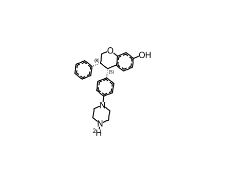 [2H]N1CCN(c2ccc([C@H]3c4ccc(O)cc4OC[C@H]3c3ccccc3)cc2)CC1